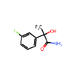 NC(=O)C(O)(c1cccc(F)c1)C(F)(F)F